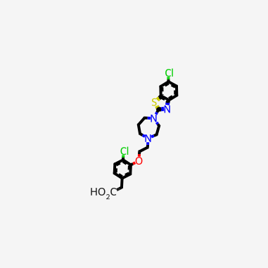 O=C(O)Cc1ccc(Cl)c(OCCN2CCCN(c3nc4ccc(Cl)cc4s3)CC2)c1